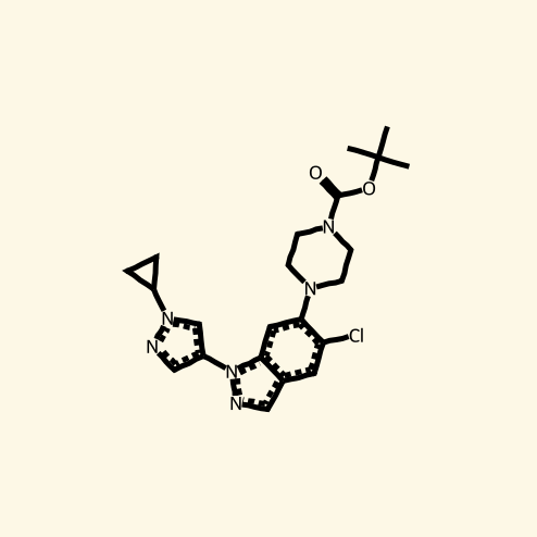 CC(C)(C)OC(=O)N1CCN(c2cc3c(cnn3-c3cnn(C4CC4)c3)cc2Cl)CC1